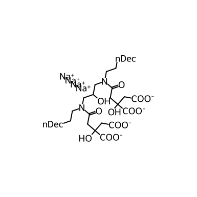 CCCCCCCCCCCCN(CC(O)CN(CCCCCCCCCCCC)C(=O)CC(O)(CC(=O)[O-])C(=O)[O-])C(=O)CC(O)(CC(=O)[O-])C(=O)[O-].[Na+].[Na+].[Na+].[Na+]